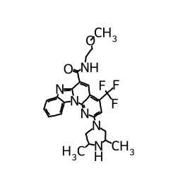 COCCNC(=O)c1cc2c(C(F)(F)F)cc(N3CC(C)NC(C)C3)nc2n2c1nc1ccccc12